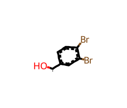 O[CH]c1ccc(Br)c(Br)c1